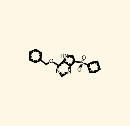 O=S(=O)(c1ccccc1)c1c[nH]c2c(OCc3ccccc3)ncnc12